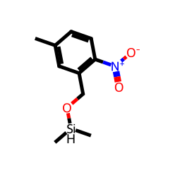 Cc1ccc([N+](=O)[O-])c(CO[SiH](C)C)c1